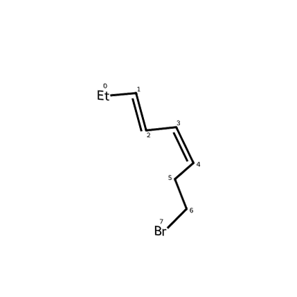 CC/C=C/C=C\CCBr